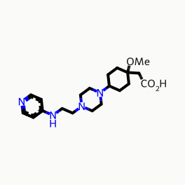 COC1(CC(=O)O)CCC(N2CCN(CCNc3ccncc3)CC2)CC1